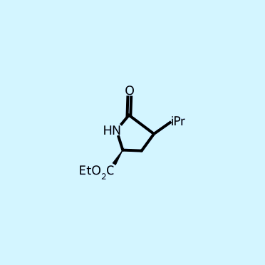 CCOC(=O)[C@@H]1CC(C(C)C)C(=O)N1